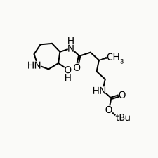 C[C@@H](CCNC(=O)OC(C)(C)C)CC(=O)NC1CCCNCC1O